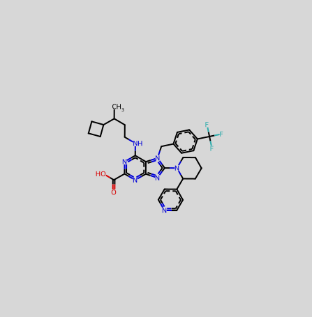 CC(CCNc1nc(C(=O)O)nc2nc(N3CCCCC3c3ccncc3)n(Cc3ccc(C(F)(F)F)cc3)c12)C1CCC1